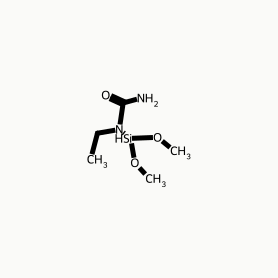 CCN(C(N)=O)[SiH](OC)OC